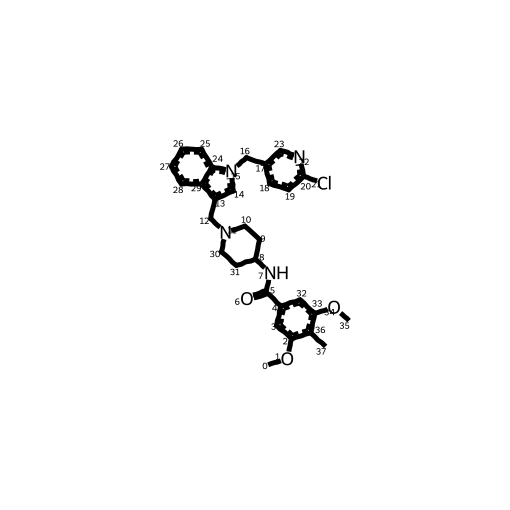 COc1cc(C(=O)NC2CCN(Cc3cn(Cc4ccc(Cl)nc4)c4ccccc34)CC2)cc(OC)c1C